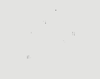 CNCC(O)C1=NN=CC1(N)N